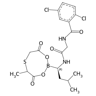 CC(C)C[C@H](NC(=O)CNC(=O)c1cc(Cl)ccc1Cl)B1OC(=O)CSC(C)C(=O)O1